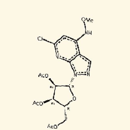 CONc1cc(Cl)nc2c1cnn2[C@@H]1O[C@H](COC(C)=O)[C@@H](OC(C)=O)[C@H]1OC(C)=O